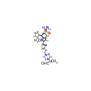 CC(C=O)N1CCN(CCC2CSC(c3cc4cc(S(=O)(=O)CN)cc(C5CCCC5)c4n3C)=N2)CC1